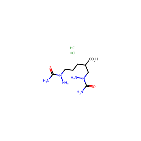 Cl.Cl.NC(=O)N(N)CCCC(CN(N)C(N)=O)C(=O)O